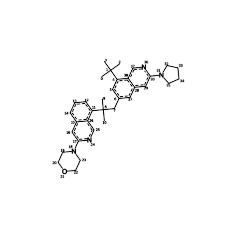 CC(C)(C)c1cc(CC(C)(C)c2cccc3cc(N4CCOCC4)ncc23)cc2cc(N3CCCC3)ncc12